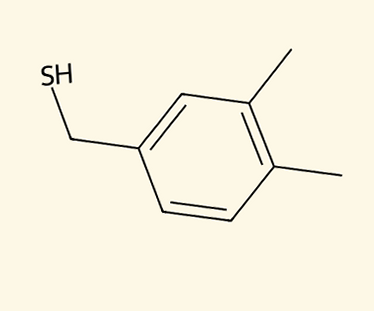 Cc1ccc(CS)cc1C